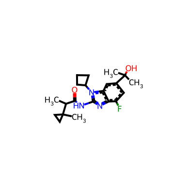 CC(C(=O)Nc1nc2c(F)cc(C(C)(C)O)cc2n1C1CCC1)C1(C)CC1